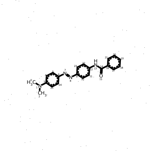 CN(C)c1ccc(/N=N/c2ccc(NC(=O)c3ccccc3)cc2)cc1